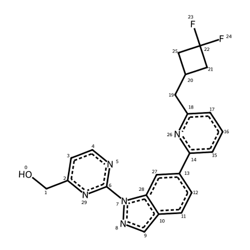 OCc1ccnc(-n2ncc3ccc(-c4cccc(CC5CC(F)(F)C5)n4)cc32)n1